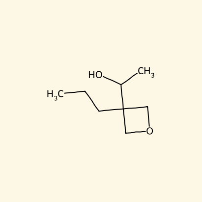 CCCC1(C(C)O)COC1